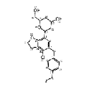 CCc1ccc(Cc2cc(C3CC(O)CC(CO)O3)c3c(c2Cl)CCO3)cc1